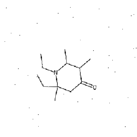 CCN1C(C)C(C)C(=O)CC1(C)CC